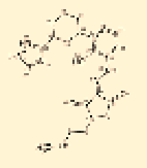 COCCN1CC(=O)C(=NNc2cccc(C3CCCC(c4nnn[nH]4)C3)c2O)C1=O